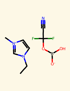 CCn1cc[n+](C)c1.N#CC(F)(F)OB([O-])O